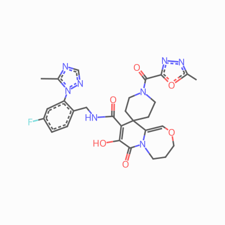 Cc1nnc(C(=O)N2CCC3(CC2)C2=COCCCN2C(=O)C(O)=C3C(=O)NCc2ccc(F)cc2-n2ncnc2C)o1